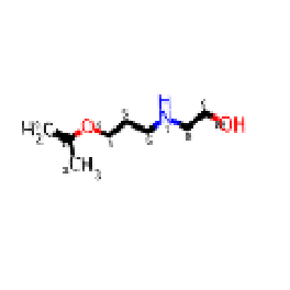 C=C(C)OCCCNCCO